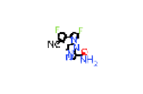 N#Cc1cc(F)cc([C@H]2C[C@H](F)CN2c2ccn3ncc(C(N)=O)c3n2)c1